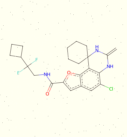 C=C1Nc2c(Cl)cc3cc(C(=O)NCC(F)(F)C4CCC4)oc3c2C2(CCCCC2)N1